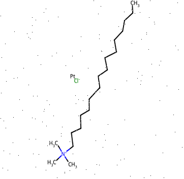 CCCCCCCCCCCCCCCC[N+](C)(C)C.[Cl-].[Pt]